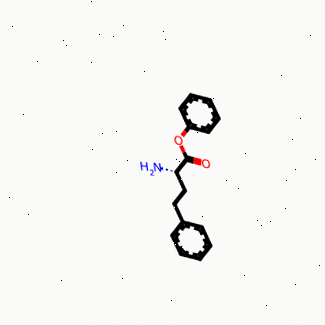 N[C@@H](CCc1ccccc1)C(=O)Oc1ccccc1